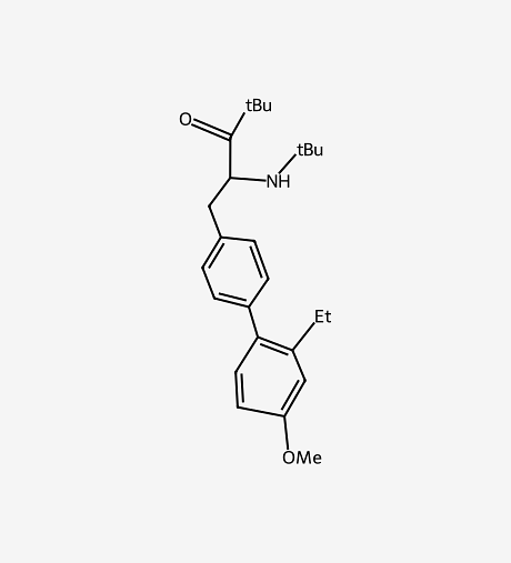 CCc1cc(OC)ccc1-c1ccc(CC(NC(C)(C)C)C(=O)C(C)(C)C)cc1